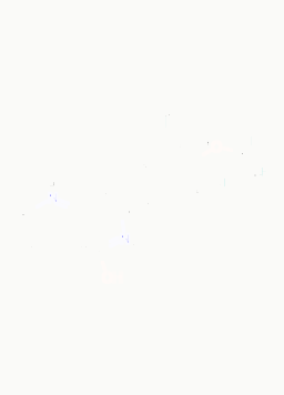 Oc1nc(-c2ccc(OC(F)(F)F)c(F)c2)cc2ncccc12